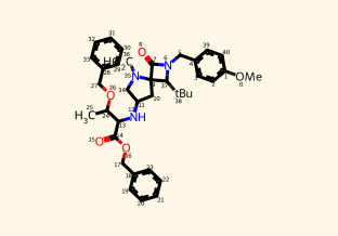 COc1ccc(CN2C(=O)C3(CC(NC(C(=O)OCc4ccccc4)C(C)OCc4ccccc4)CN3C(=O)O)C2C(C)(C)C)cc1